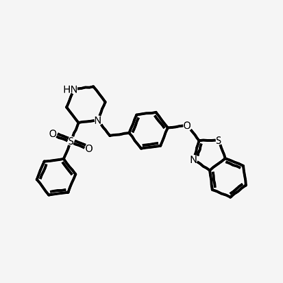 O=S(=O)(c1ccccc1)C1CNCCN1Cc1ccc(Oc2nc3ccccc3s2)cc1